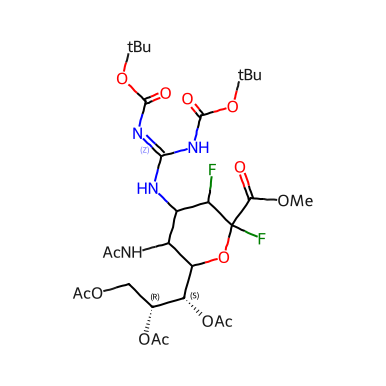 COC(=O)C1(F)OC([C@H](OC(C)=O)[C@@H](COC(C)=O)OC(C)=O)C(NC(C)=O)C(N/C(=N/C(=O)OC(C)(C)C)NC(=O)OC(C)(C)C)C1F